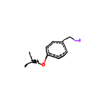 C[SiH](C)Oc1ccc(CI)cc1